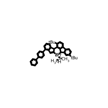 CCCC1=Cc2c(-c3ccc(-c4ccccc4)cc3)cccc2C1c1c(C(C)(C)C)ccc2c1[CH]([Zr][SiH](C)C)c1cc(C(C)(C)C)ccc1-2